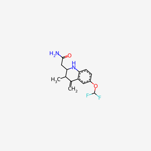 C=C1c2cc(OC(F)F)ccc2NC(CC(N)=O)C1C